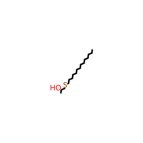 CCCCCCCCCCCCCCSCC(C)O